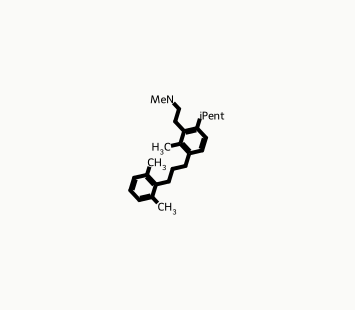 CCCC(C)c1ccc(CCCc2c(C)cccc2C)c(C)c1CCNC